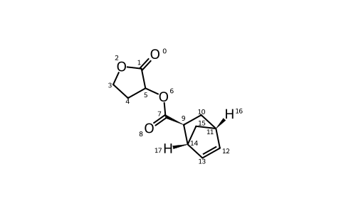 O=C1OCCC1OC(=O)[C@H]1C[C@@H]2C=C[C@H]1C2